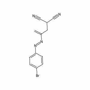 C=C(CC(C#N)C#N)N=Nc1ccc(Br)cc1